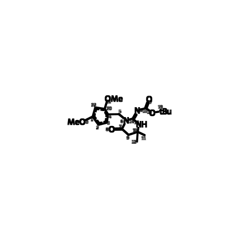 COc1ccc(CN2C(=O)CC(C)(C)NC2=NC(=O)OC(C)(C)C)c(OC)c1